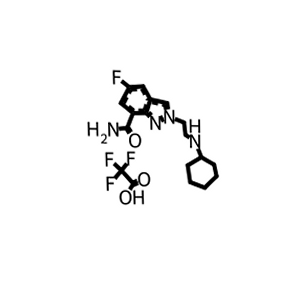 NC(=O)c1cc(F)cc2cn(CCNC3CCCCC3)nc12.O=C(O)C(F)(F)F